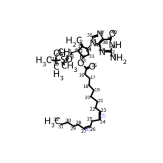 C=C1[C@H](CO[Si](C)(C)C(C)(C)C)[C@@H](OC(=O)CCCCCCC/C=C\C/C=C\CCCCC)C[C@@H]1n1cnc2c(=O)[nH]c(N)nc21